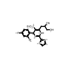 CCOC(=O)C1=C(CC(C#N)CO)NC(c2nccs2)=NC1c1ccc(F)cc1Br